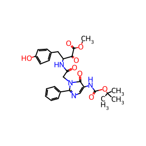 COC(=O)C(=O)C(Cc1ccc(O)cc1)NC(=O)Cn1c(-c2ccccc2)ncc(NC(=O)OC(C)(C)C)c1=O